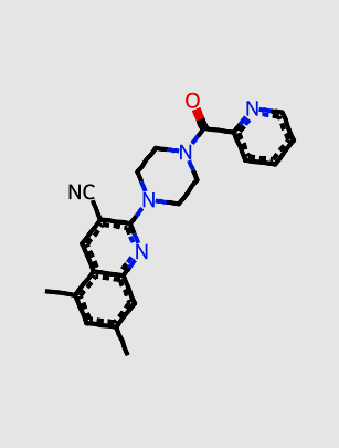 Cc1cc(C)c2cc(C#N)c(N3CCN(C(=O)c4ccccn4)CC3)nc2c1